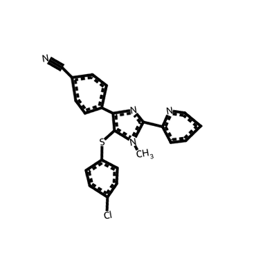 Cn1c(-c2ccccn2)nc(-c2ccc(C#N)cc2)c1Sc1ccc(Cl)cc1